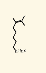 [CH2]C(C)=C(C)CCCCCCCCCCC